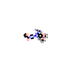 [2H]c1c(OC([2H])([2H])[2H])c(OC([2H])([2H])[2H])c([2H])c2c(N([2H])[2H])nc(N3CCN(C(=O)c4ccco4)CC3)nc12